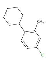 Cc1cc(Cl)ccc1C1CCCCC1